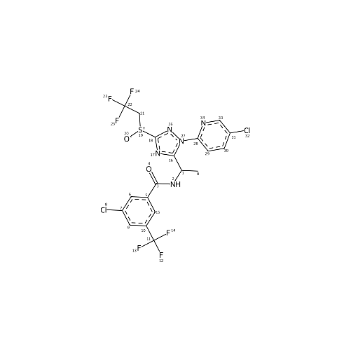 CC(NC(=O)c1cc(Cl)cc(C(F)(F)F)c1)c1nc([S+]([O-])CC(F)(F)F)nn1-c1ccc(Cl)cn1